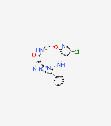 CC1CNC(=O)c2cnn3cc(-c4ccccc4)c(nc23)NCc2cc(Cl)cnc2O1